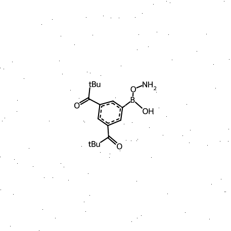 CC(C)(C)C(=O)c1cc(B(O)ON)cc(C(=O)C(C)(C)C)c1